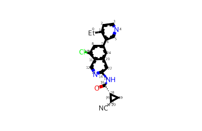 CCc1ccncc1-c1cc(Cl)c2cnc(NC(=O)[C@@H]3C[C@@H]3C#N)cc2c1